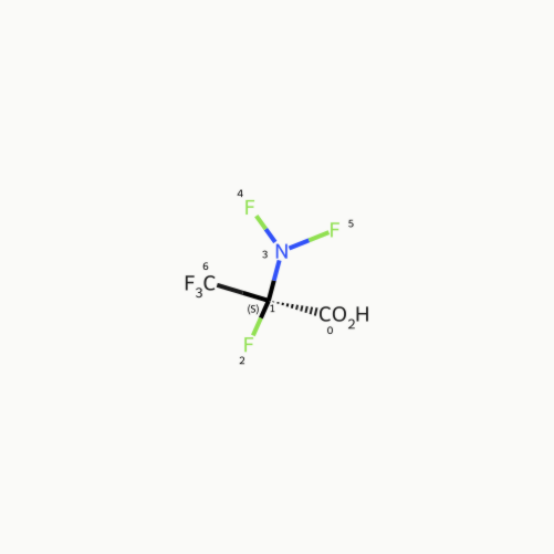 O=C(O)[C@@](F)(N(F)F)C(F)(F)F